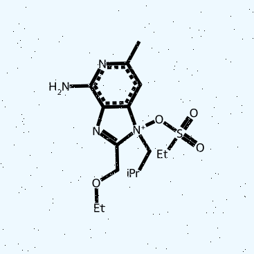 CCOCC1=Nc2c(cc(C)nc2N)[N+]1(CC(C)C)OS(=O)(=O)CC